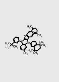 Cc1ccc2c(c1)N(c1ccc3c(c1)C(C)(C)CCC3(C)C)c1c(sc3cc4c(cc13)C1(C)CCC4(C)CC1)B2c1cccc(C(C)(C)C)c1